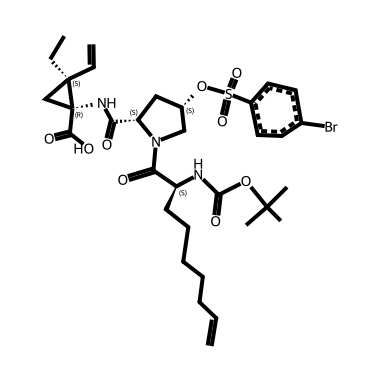 C=CCCCCC[C@H](NC(=O)OC(C)(C)C)C(=O)N1C[C@@H](OS(=O)(=O)c2ccc(Br)cc2)C[C@H]1C(=O)N[C@]1(C(=O)O)C[C@]1(C=C)CC